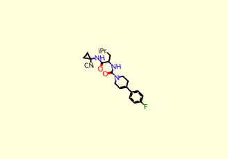 CC(C)CC(NC(=O)N1CC=C(c2ccc(F)cc2)CC1)C(=O)NC1(C#N)CC1